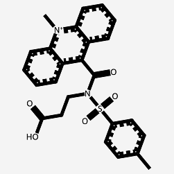 Cc1ccc(S(=O)(=O)N(CCC(=O)O)C(=O)c2c3ccccc3[n+](C)c3ccccc23)cc1